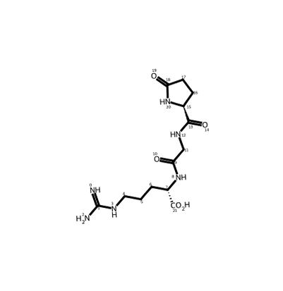 N=C(N)NCCC[C@H](NC(=O)CNC(=O)[C@@H]1CCC(=O)N1)C(=O)O